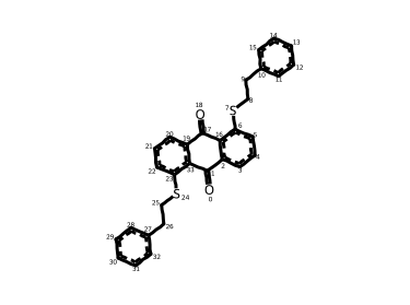 O=C1c2cccc(SCCc3ccccc3)c2C(=O)c2cccc(SCCc3ccccc3)c21